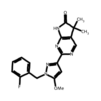 COc1cc(-c2ncc3c(n2)NC(=O)C3(C)C)nn1Cc1ccccc1F